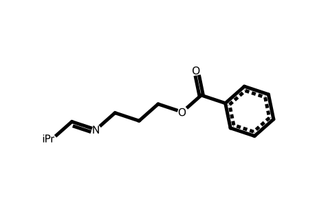 CC(C)C=NCCCOC(=O)c1ccccc1